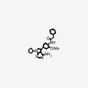 COc1cc(-c2cn(C3CCCC3)c3ncnc(N)c23)ccc1NC(=O)Cc1ccccc1